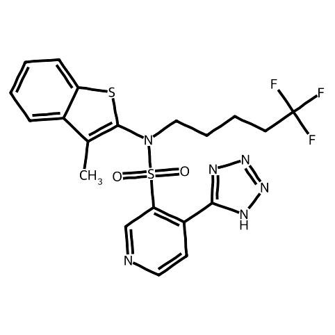 Cc1c(N(CCCCC(F)(F)F)S(=O)(=O)c2cnccc2-c2nnn[nH]2)sc2ccccc12